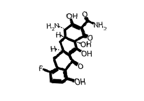 NC(=O)C1=C(O)[C@@H](N)[C@@H]2C[C@@H]3Cc4c(F)ccc(O)c4C(=O)C3=C(O)[C@]2(O)C1=O